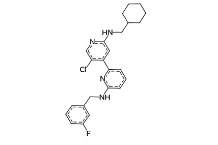 Fc1cccc(CNc2cccc(-c3cc(NCC4CCCCC4)ncc3Cl)n2)c1